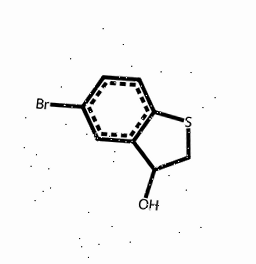 OC1CSc2ccc(Br)cc21